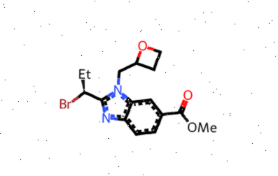 CC[C@H](Br)c1nc2ccc(C(=O)OC)cc2n1CC1CCO1